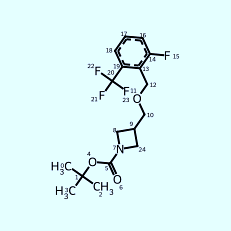 CC(C)(C)OC(=O)N1CC(COCc2c(F)cccc2C(F)(F)F)C1